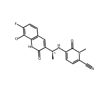 C[C@H](Nc1ccc(C#N)n(C)c1=O)c1cc2ccc(F)c(Cl)c2[nH]c1=O